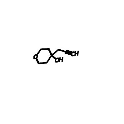 C#CCC1(O)CCOCC1